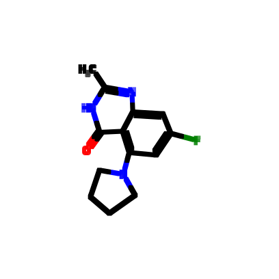 Cc1nc2cc(F)cc(N3CCCC3)c2c(=O)[nH]1